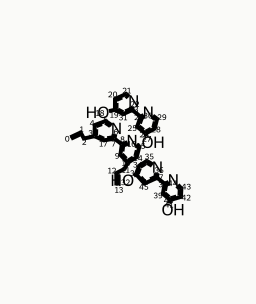 C=CCc1ccnc(-c2cc(CC=C)ccn2)c1.Oc1ccnc(-c2cc(O)ccn2)c1.Oc1ccnc(-c2cc(O)ccn2)c1